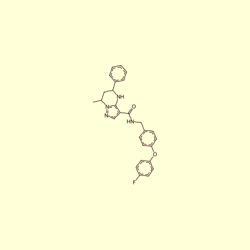 CC1CC(c2ccccc2)Nc2c(C(=O)NCc3ccc(Oc4ccc(F)cc4)cc3)cnn21